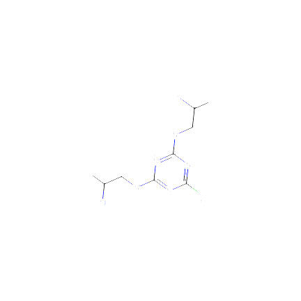 CC(N)CNc1nc(Cl)nc(NCC(C)N)n1